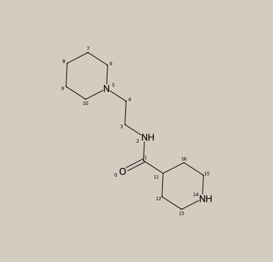 O=C(NCCN1CCCCC1)C1CCNCC1